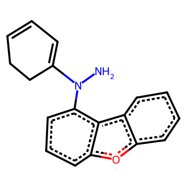 NN(C1=CC=CCC1)c1cccc2oc3ccccc3c12